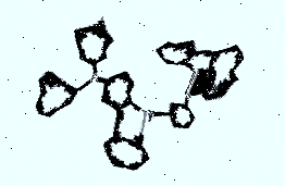 c1ccc(P(c2ccccc2)c2ccc3c(c2)c2ccccc2n3-c2cccc(-n3c4ccccc4c4ccccc43)c2)cc1